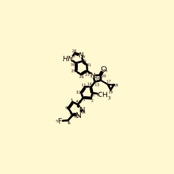 Cc1cc(-c2ccc(CF)nn2)ccc1C1C(C2CC2)C(=O)N1c1ccc2[nH]cnc2c1